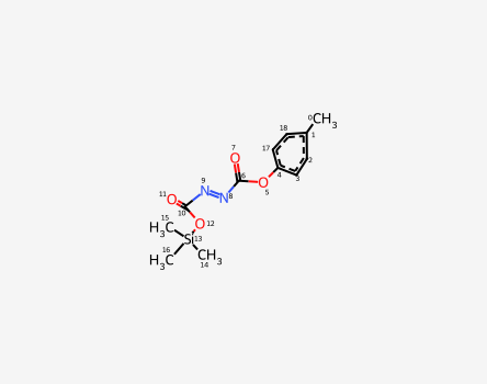 Cc1ccc(OC(=O)/N=N/C(=O)O[Si](C)(C)C)cc1